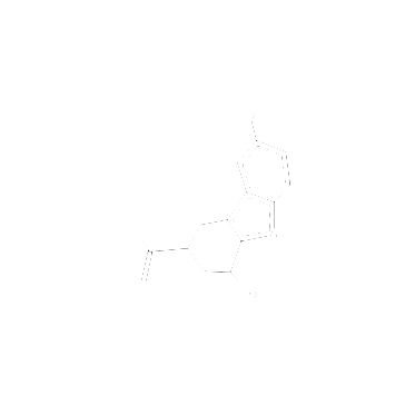 NC1CC(C(=O)O)Cc2c1[nH]c1ccc(Br)cc21